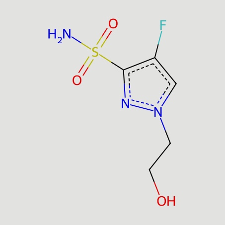 NS(=O)(=O)c1nn(CCO)cc1F